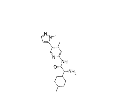 Cc1cc(NC(=O)[C@@H](N)C2CCC(C)CC2)ncc1-c1ccnn1C